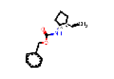 C=C[C@@H]1CCC[C@H]1NC(=O)OCc1ccccc1